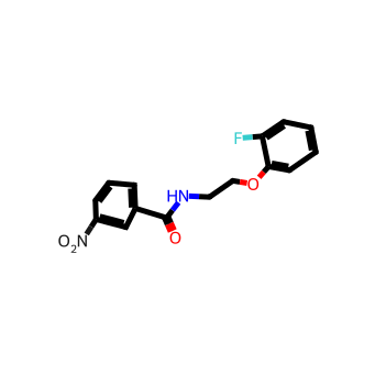 O=C(NCCOc1ccccc1F)c1cccc([N+](=O)[O-])c1